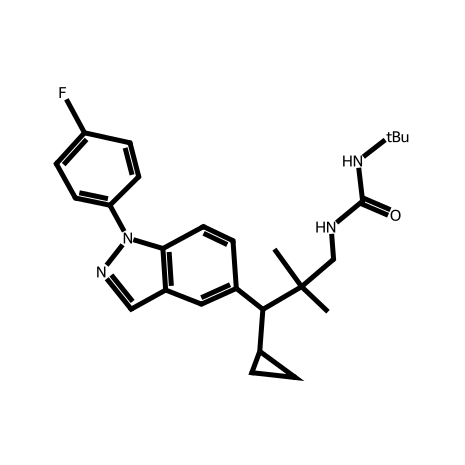 CC(C)(C)NC(=O)NCC(C)(C)C(c1ccc2c(cnn2-c2ccc(F)cc2)c1)C1CC1